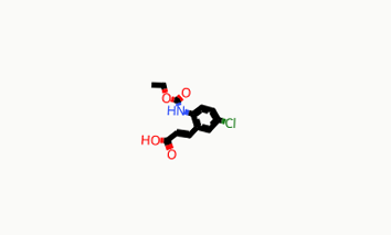 CCOC(=O)Nc1ccc(Cl)cc1/C=C/C(=O)O